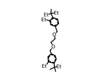 CCc1cc(COCCOCc2ccc(C(C)(CC)CC)c(CC)c2)ccc1C(C)(C)CC